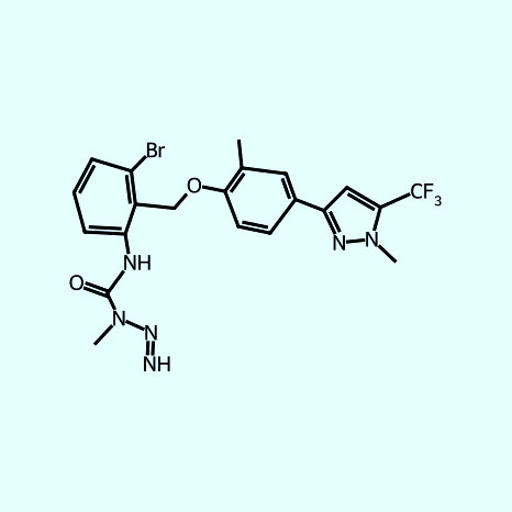 Cc1cc(-c2cc(C(F)(F)F)n(C)n2)ccc1OCc1c(Br)cccc1NC(=O)N(C)N=N